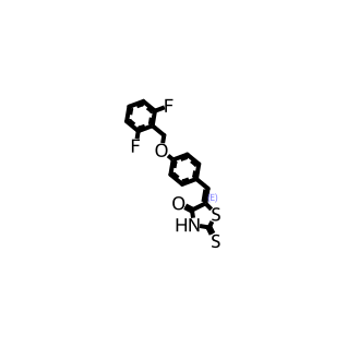 O=C1NC(=S)S/C1=C/c1ccc(OCc2c(F)cccc2F)cc1